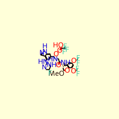 COC(=O)C[C@H](NC(=O)CNC(=O)c1cc(NC2=NCC(F)CN2)c2cn[nH]c2c1)c1cc(OC(F)F)cc(OC(F)F)c1.O=C(O)C(F)(F)F